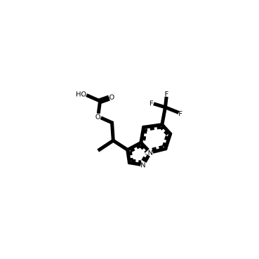 CC(COC(=O)O)c1cnn2ccc(C(F)(F)F)cc12